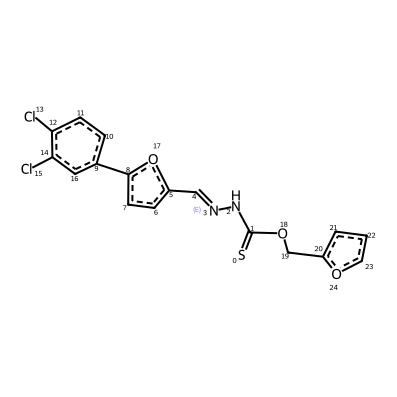 S=C(N/N=C/c1ccc(-c2ccc(Cl)c(Cl)c2)o1)OCc1ccco1